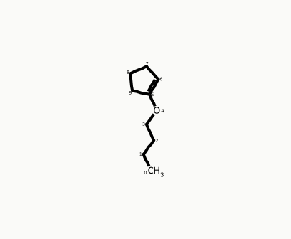 CCCCOC1=CCCC1